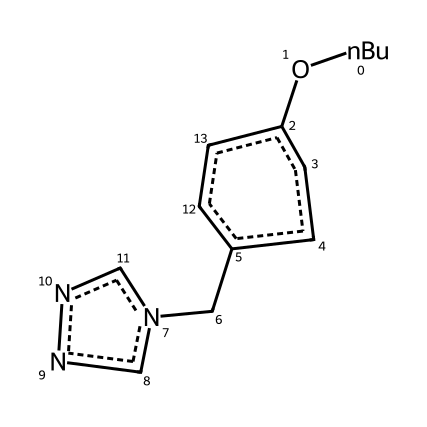 CCCCOc1ccc(Cn2cnnc2)cc1